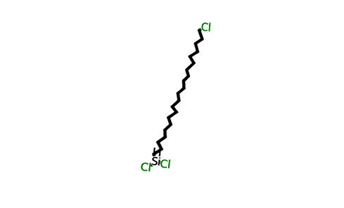 ClCCCCCCCCCCCCCCCCCCCCC[SiH](Cl)Cl